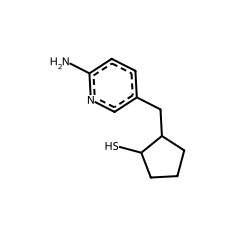 Nc1ccc(CC2CCCC2S)cn1